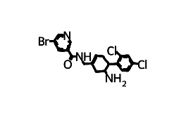 NC1CC(CNC(=O)c2cncc(Br)c2)=CCC1c1ccc(Cl)cc1Cl